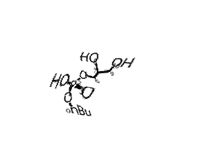 CCCCOP(=O)(O)OCC(O)CO